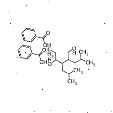 CCC(O)C(CC(C)C)C(CO)CC(C)C.O=C(O)c1ccccc1.O=C(O)c1ccccc1